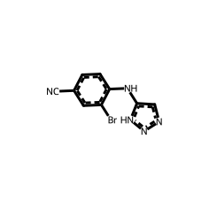 N#Cc1ccc(Nc2cnn[nH]2)c(Br)c1